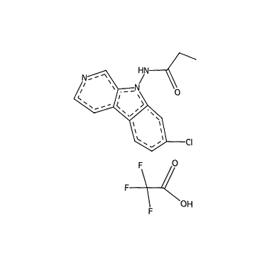 CCC(=O)Nn1c2cnccc2c2ccc(Cl)cc21.O=C(O)C(F)(F)F